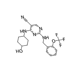 N#Cc1cnc(NCc2ccccc2OC(F)(F)F)nc1NC1CCC(O)CC1